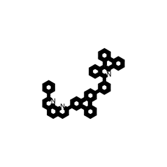 c1ccc(-c2ccc3ccc4ccc(-c5ccc6c7ccc(-c8cccc(-c9nc%10c%11ccccc%11c%11ccccc%11c%10c%10ccccc9%10)c8)cc7c7ccccc7c6c5)nc4c3n2)cc1